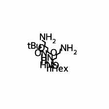 CCCCCCNC(=O)C(CCCCN)NC(=O)C(CCCCN)NC(=O)OC(C)(C)C